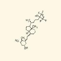 C=C1/C(=C\C=C2/CCCC3(C)C([C@@H](C)CCCC(O)(C(F)(F)F)C(F)(F)F)CC[C@@H]23)C[C@@H](O)C[C@@H]1O